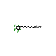 CCCCCCCCCCCCCCCCCCc1c(F)c(F)c(F)c(F)c1F